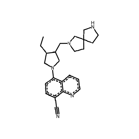 CCC1CN(c2ccc(C#N)c3ncccc23)CC1CN1CCC2(CCNC2)C1